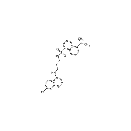 CN(C)c1cccc2c(S(=O)(=O)NCCCNc3ccnc4cc(Cl)ccc34)cccc12